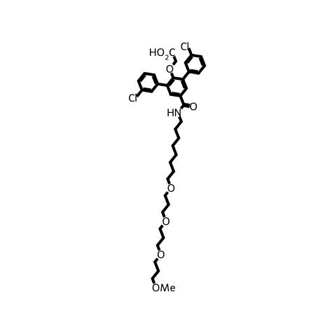 COCCCOCCCOCCCOCCCCCCCCNC(=O)c1cc(-c2cccc(Cl)c2)c(OCC(=O)O)c(-c2cccc(Cl)c2)c1